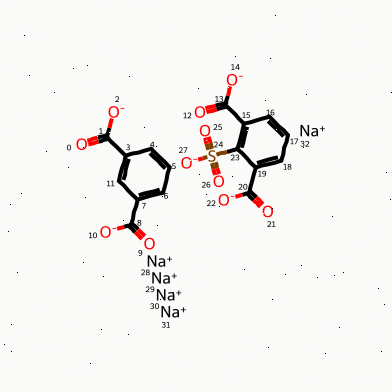 O=C([O-])c1cccc(C(=O)[O-])c1.O=C([O-])c1cccc(C(=O)[O-])c1S(=O)(=O)[O-].[Na+].[Na+].[Na+].[Na+].[Na+]